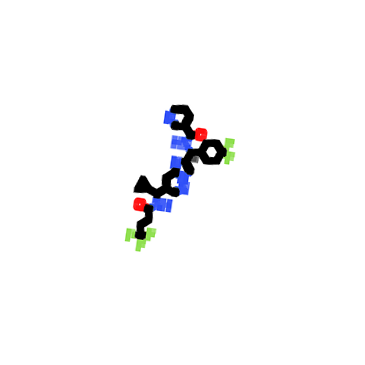 O=C(CCC(F)(F)F)NC(c1cnn2cc([C@@H](NC(=O)c3cccnc3)C3CCC(F)(F)CC3)nc2c1)C1CC1